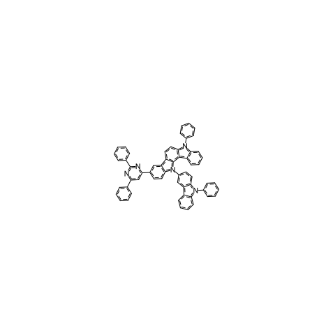 c1ccc(-c2cc(-c3ccc4c(c3)c3ccc5c(c6ccccc6n5-c5ccccc5)c3n4-c3ccc4c(c3)c3ccccc3n4-c3ccccc3)nc(-c3ccccc3)n2)cc1